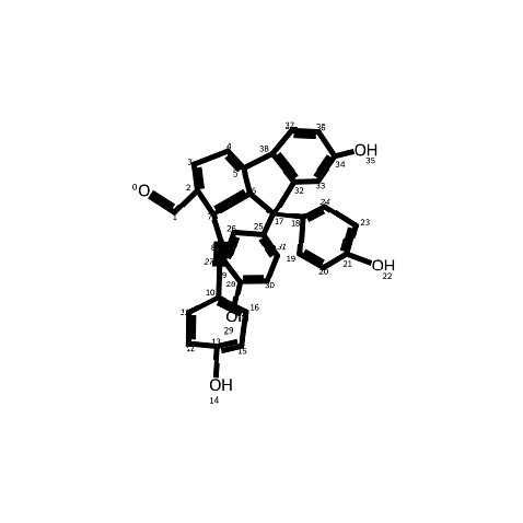 O=Cc1ccc2c(c1C#Cc1ccc(O)cc1)C(c1ccc(O)cc1)(c1ccc(O)cc1)c1cc(O)ccc1-2